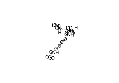 CC(C)C(NC(=O)CCOCCOCCOCCOCCNC(=O)CCN1C(=O)C=CC1=O)C(=O)NC(CCCCNC(=O)OC(C)(C)C)C(=O)O